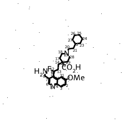 COc1ccc2ncc(CN)c([C@@H](F)CCC3(C(=O)O)CCN(CCC4CCCCC4)CC3)c2c1